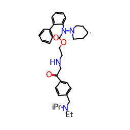 CCN(Cc1ccc(C(=O)CNCCOC(=O)N(c2ccccc2-c2ccccc2)N2CC[CH]CC2)cc1)C(C)C